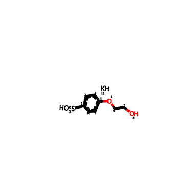 O=S(=O)(O)c1ccc(OCCO)cc1.[KH]